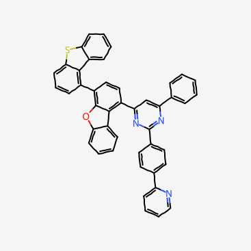 c1ccc(-c2cc(-c3ccc(-c4cccc5sc6ccccc6c45)c4oc5ccccc5c34)nc(-c3ccc(-c4ccccn4)cc3)n2)cc1